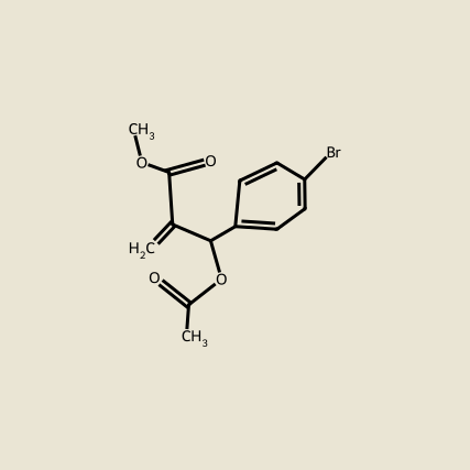 C=C(C(=O)OC)C(OC(C)=O)c1ccc(Br)cc1